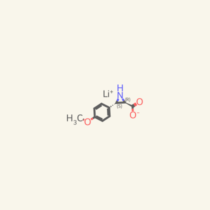 COc1ccc([C@@H]2N[C@H]2C(=O)[O-])cc1.[Li+]